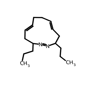 CCCC1C/C=C/CC/C=C/CC(CCC)/N=N/1